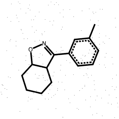 Cc1cccc(C2=NOC3CCCCC23)c1